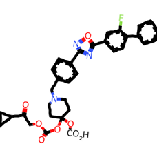 O=C(O)OC1(OC(=O)OCC(=O)C2CC2)CCN(Cc2ccc(-c3noc(-c4ccc(-c5ccccc5)c(F)c4)n3)cc2)CC1